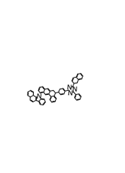 C1=CC2C=Cc3c(n(-c4cccc5cc6c(cc45)-c4ccccc4C(C4C=CC(c5nc(-c7ccccc7)nc(C7C=Cc8ccccc8C7)n5)=CC4)C6)c4ccccc34)C2C=C1